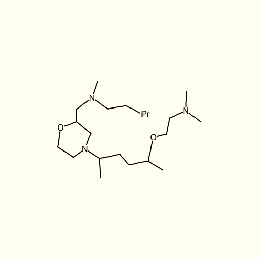 CC(C)CCN(C)CC1CN(C(C)CCC(C)OCCN(C)C)CCO1